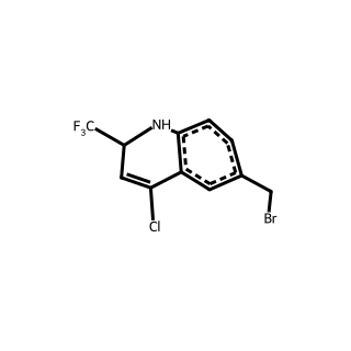 FC(F)(F)C1C=C(Cl)c2cc(CBr)ccc2N1